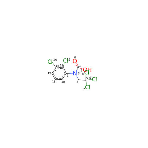 O=C(O)N(CC(Cl)(Cl)Cl)c1cccc(Cl)c1Cl